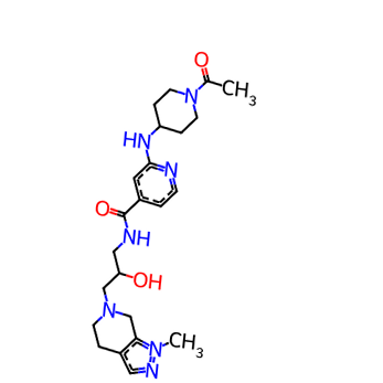 CC(=O)N1CCC(Nc2cc(C(=O)NCC(O)CN3CCc4cnn(C)c4C3)ccn2)CC1